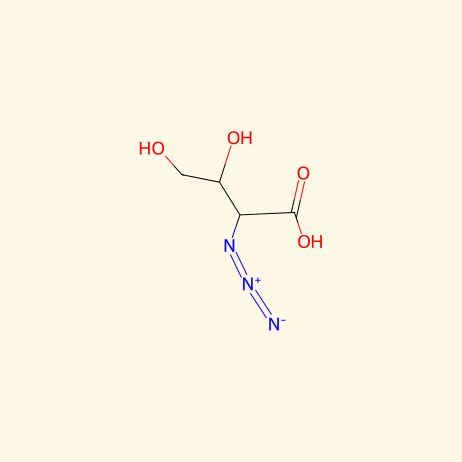 [N-]=[N+]=NC(C(=O)O)C(O)CO